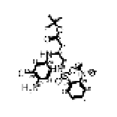 CC(C)(C)OC(=O)C[C@@H](CNS(=O)(=O)c1ccccc1[N+](=O)[O-])Nc1ccc(N)c(Cl)c1